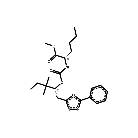 CCCC[C@H](NC(=O)O[C@H](Cc1nnc(-c2ccccc2)o1)C(C)(C)CC)C(=O)OC